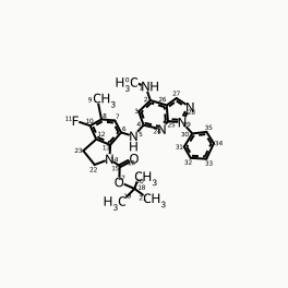 CNc1cc(Nc2cc(C)c(F)c3c2N(C(=O)OC(C)(C)C)CC3)nc2c1cnn2-c1ccccc1